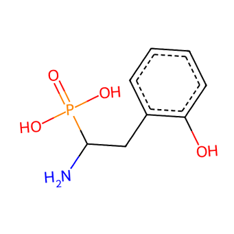 NC(Cc1ccccc1O)P(=O)(O)O